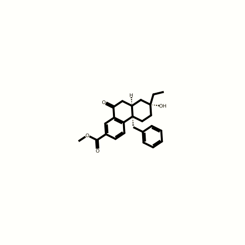 CC[C@@]1(O)CC[C@@]2(Cc3ccccc3)c3ccc(C(=O)OC)cc3C(=O)C[C@H]2C1